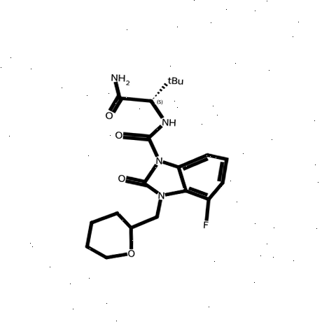 CC(C)(C)[C@H](NC(=O)n1c(=O)n(CC2CCCCO2)c2c(F)cccc21)C(N)=O